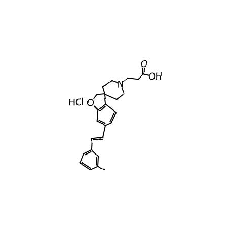 Cc1cccc(C=Cc2ccc3c(c2)OCC32CCN(CCC(=O)O)CC2)c1.Cl